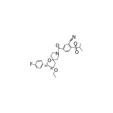 CCO[C@@H]1C[C@H](c2ccc(F)cc2)OC2(CCN(C(=O)c3ccc(S(=O)(=O)C(C)C)c(C#N)c3)CC2)C1